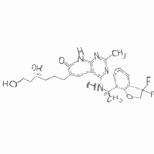 Cc1nc(N[C@H](C)c2cccc3c2OCC3(F)F)c2cc(CCC[C@@H](O)CCO)c(=O)[nH]c2n1